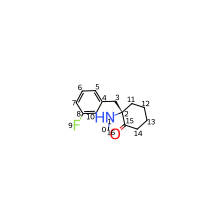 CN[C@]1(Cc2cccc(F)c2)CCCCC1=O